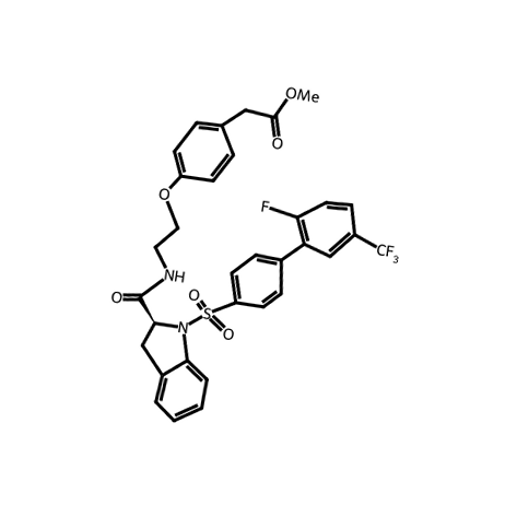 COC(=O)Cc1ccc(OCCNC(=O)[C@@H]2Cc3ccccc3N2S(=O)(=O)c2ccc(-c3cc(C(F)(F)F)ccc3F)cc2)cc1